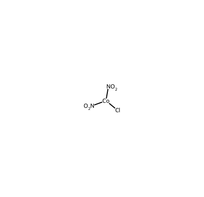 O=[N+]([O-])[Co]([Cl])[N+](=O)[O-]